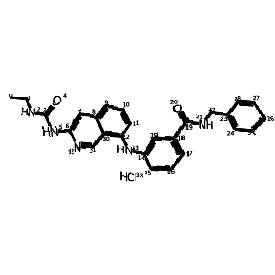 CCNC(=O)Nc1cc2cccc(Nc3cccc(C(=O)NCc4ccccc4)c3)c2cn1.Cl